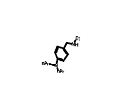 CCCN(CCC)c1ccc(CNCC)cc1